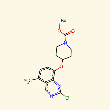 CC(C)(C)OC(=O)N1CCC(Oc2ccc(C(F)(F)F)c3cnc(Cl)nc23)CC1